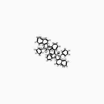 O=P1(c2ccc(P3(=O)N(c4ccccc4)c4ccc5ncccc5c4N3c3ccccc3)cc2)N(c2ccccc2)c2ccc3ncccc3c2N1c1ccccc1